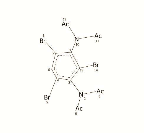 CC(=O)N(C(C)=O)c1c(Br)cc(Br)c(N(C(C)=O)C(C)=O)c1Br